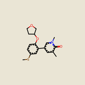 CSc1ccc(OC2CCOC2)c(-c2cc(C)c(=O)n(C)c2)c1